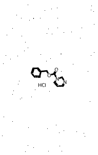 Cl.O=C(OCc1ccccc1)N1C=CC=NC1